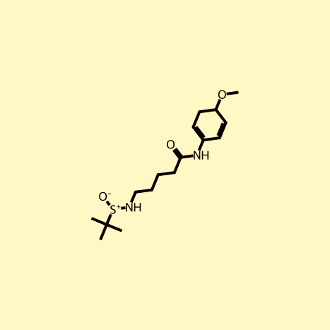 COC1C=CC(NC(=O)CCCCN[S+]([O-])C(C)(C)C)=CC1